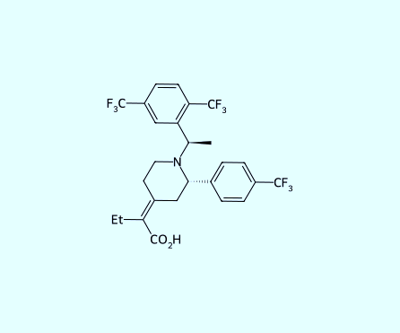 CCC(C(=O)O)=C1CCN([C@H](C)c2cc(C(F)(F)F)ccc2C(F)(F)F)[C@H](c2ccc(C(F)(F)F)cc2)C1